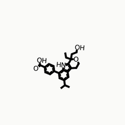 CCC1(CCO)OCCc2c1[nH]c1c(-c3ccc(C(=O)O)cc3)cc(C(C)C)cc21